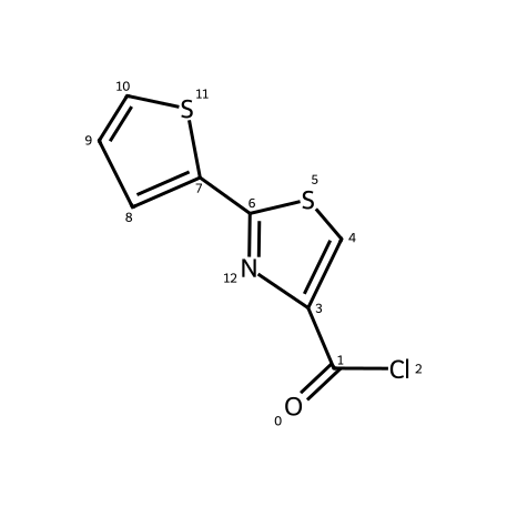 O=C(Cl)c1csc(-c2cccs2)n1